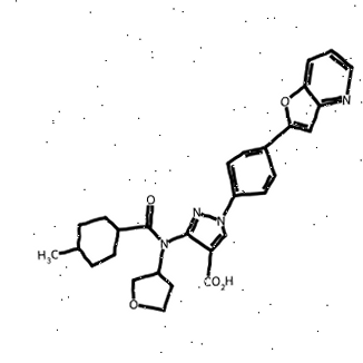 CC1CCC(C(=O)N(c2nn(-c3ccc(-c4cc5ncccc5o4)cc3)cc2C(=O)O)C2CCOC2)CC1